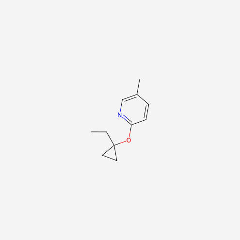 CCC1(Oc2ccc(C)cn2)CC1